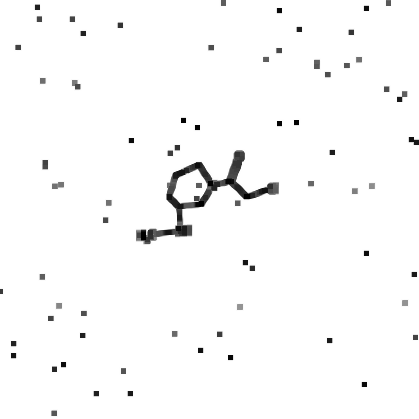 CNC1CCCN(C(=O)CCl)C1